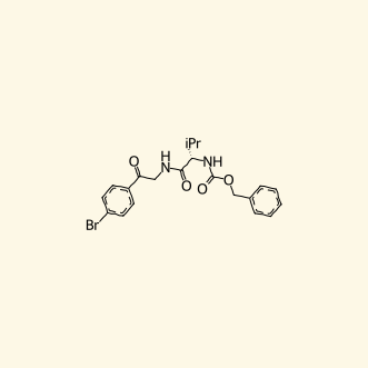 CC(C)[C@H](NC(=O)OCc1ccccc1)C(=O)NCC(=O)c1ccc(Br)cc1